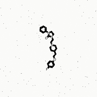 O=C1N(CCN2CCC(CCOc3ccc(F)cc3)CC2)CCN1c1ccccc1